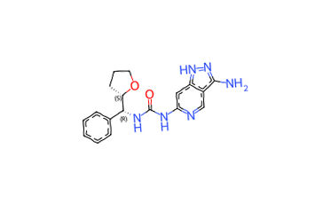 Nc1n[nH]c2cc(NC(=O)N[C@H](c3ccccc3)[C@@H]3CCCO3)ncc12